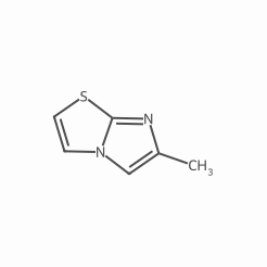 Cc1cn2ccsc2n1